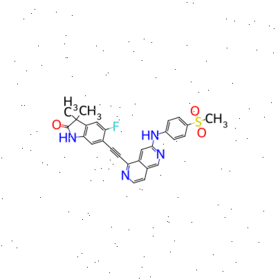 CC1(C)C(=O)Nc2cc(C#Cc3nccc4cnc(Nc5ccc(S(C)(=O)=O)cc5)cc34)c(F)cc21